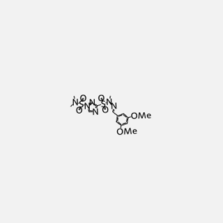 COc1cc(/C=N/N(C)S(=O)(=O)c2ncn(S(=O)(=O)N(C)C)n2)cc(OC)c1